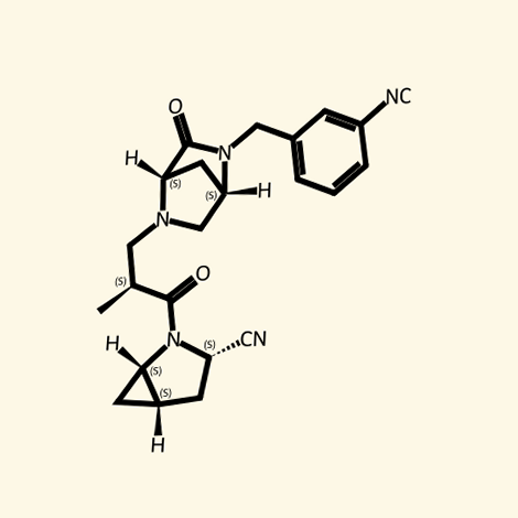 [C-]#[N+]c1cccc(CN2C(=O)[C@@H]3C[C@H]2CN3C[C@H](C)C(=O)N2[C@H](C#N)C[C@@H]3C[C@@H]32)c1